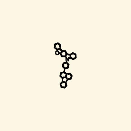 c1ccc2c(c1)-c1cccc3c(-c4ccc(-n5c6ccccc6c6cc7c(cc65)oc5ccccc57)cc4)ccc-2c13